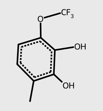 Cc1ccc(OC(F)(F)F)c(O)c1O